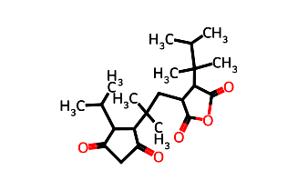 CC(C)C1C(=O)CC(=O)C1C(C)(C)CC1C(=O)OC(=O)C1C(C)(C)C(C)C